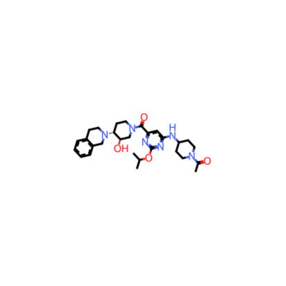 CC(=O)N1CCC(Nc2cc(C(=O)N3CC[C@@H](N4CCc5ccccc5C4)[C@H](O)C3)nc(OC(C)C)n2)CC1